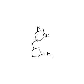 CC1CCCC(CN(CC2CO2)CC2CO2)C1